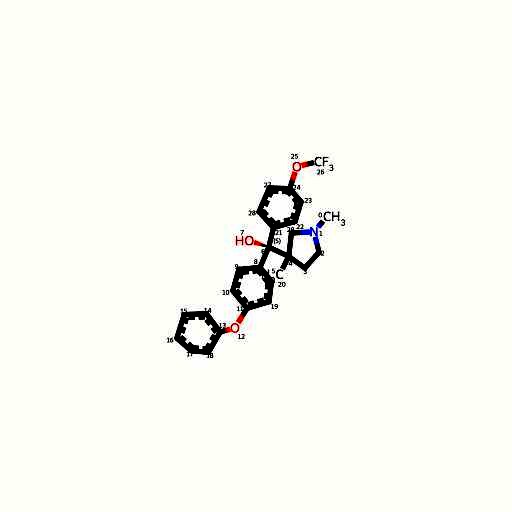 CN1CCC(C)([C@](O)(c2ccc(Oc3ccccc3)cc2)c2ccc(OC(F)(F)F)cc2)C1